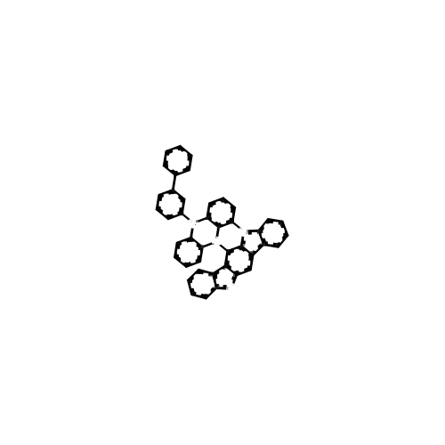 c1ccc(-c2cccc(N3c4ccccc4B4c5c3cccc5-n3c5ccccc5c5cc6oc7ccccc7c6c4c53)c2)cc1